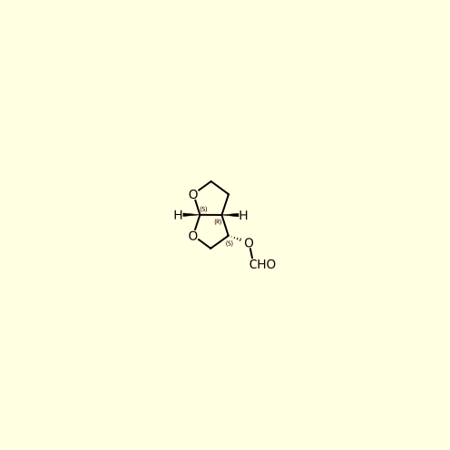 O=CO[C@@H]1CO[C@@H]2OCC[C@@H]21